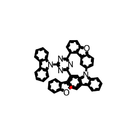 c1ccc2c(c1)oc1cccc(-c3nc(-c4cccc5oc6ccc(-n7c8ccccc8c8ccccc87)cc6c45)nc(-n4c5ccccc5c5ccccc54)n3)c12